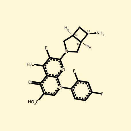 Cc1c(F)c(N2C[C@H]3C[C@@H](N)[C@H]3C2)nc2c1c(=O)c(C(=O)O)cn2-c1ccc(F)cc1F